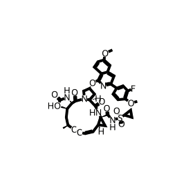 COc1ccc2c(O[C@@H]3C[C@H]4C(=O)N[C@]5(C(=O)NS(=O)(=O)C6CC6)C[C@H]5C=CCC[C@@H](C)C[C@@H](C)[C@H](NC(=O)O)C(=O)N4C3)nc(-c3ccc(OC)c(F)c3)cc2c1